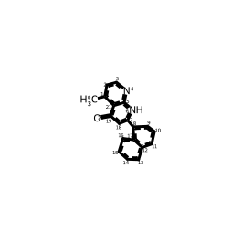 Cc1ccnc2[nH]c(-c3cccc4ccccc34)cc(=O)c12